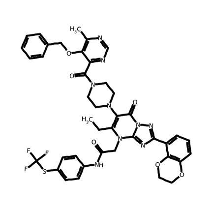 CCc1c(N2CCN(C(=O)c3ncnc(C)c3OCc3ccccc3)CC2)c(=O)n2nc(-c3cccc4c3OCCO4)nc2n1CC(=O)Nc1ccc(SC(F)(F)F)cc1